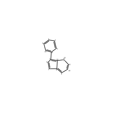 [c]1cccc(-c2ccc3cccsc2-3)c1